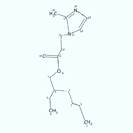 CCCCC(CC)COC(=O)CCn1ccnc1C